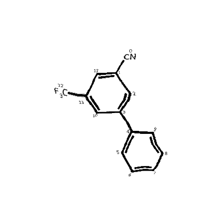 N#Cc1cc(-c2ccccc2)cc(C(F)(F)F)c1